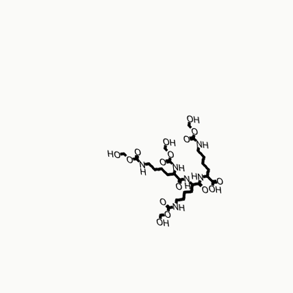 O=C(NCCCCC(NC(=O)C(CCCCNC(=O)OCO)NC(=O)C(CCCCNC(=O)OCO)NC(=O)OCO)C(=O)O)OCO